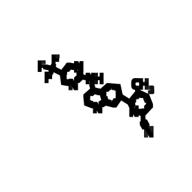 Cc1ccc(C#N)nc1-c1ccc2c(Nc3ncc(C(F)(F)F)cn3)ccnc2c1